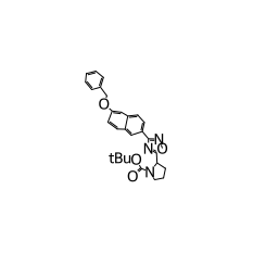 CC(C)(C)OC(=O)N1CCCC1c1nc(-c2ccc3cc(OCc4ccccc4)ccc3c2)no1